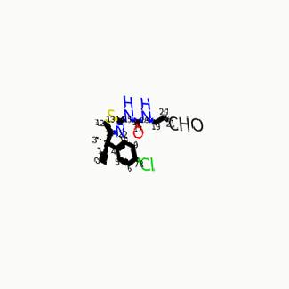 C#C[C@](C)(c1ccc(Cl)cc1)c1csc(NC(=O)NCCC=O)n1